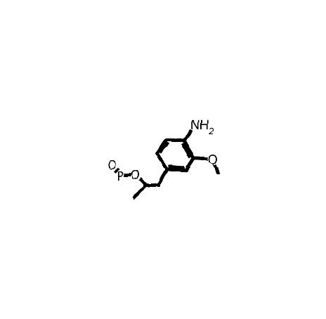 COc1cc(CC(C)OP=O)ccc1N